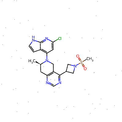 C[C@@H]1Cc2ncnc(C3CN(S(C)(=O)=O)C3)c2CN1c1cc(Cl)nc2[nH]ccc12